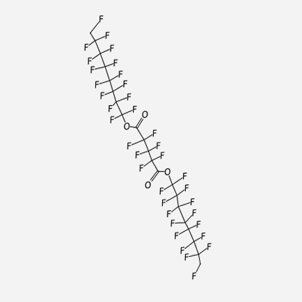 O=C(OC(F)(F)C(F)(F)C(F)(F)C(F)(F)C(F)(F)C(F)(F)C(F)(F)CF)C(F)(F)C(F)(F)C(F)(F)C(=O)OC(F)(F)C(F)(F)C(F)(F)C(F)(F)C(F)(F)C(F)(F)C(F)(F)CF